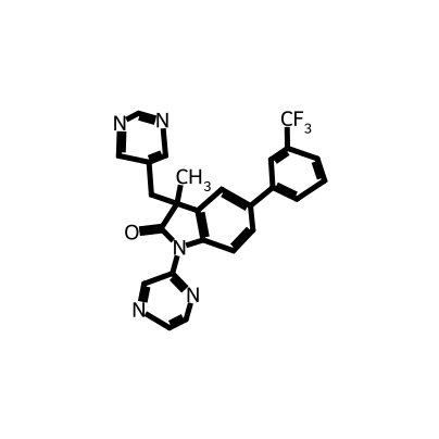 CC1(Cc2cncnc2)C(=O)N(c2cnccn2)c2ccc(-c3cccc(C(F)(F)F)c3)cc21